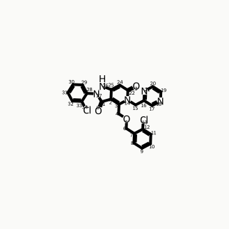 O=c1c2c(COCc3ccccc3Cl)n(Cc3cnccn3)c(=O)cc2[nH]n1-c1ccccc1Cl